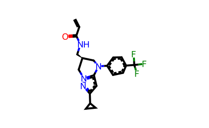 C=CC(=O)NC[C@H]1CN(c2ccc(C(F)(F)F)cc2)c2cc(C3CC3)nn2C1